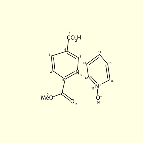 COC(=O)c1ccc(C(=O)O)cn1.[O-][n+]1ccccc1